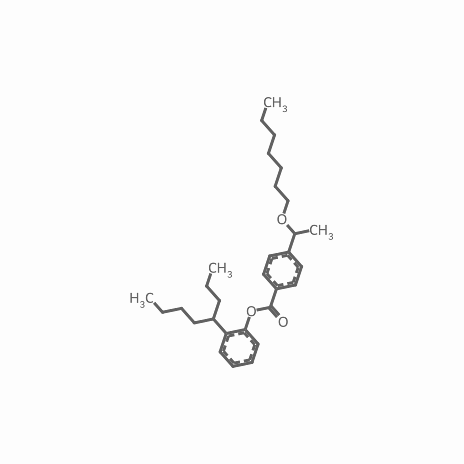 CCCCCCCOC(C)c1ccc(C(=O)Oc2ccccc2C(CCC)CCCC)cc1